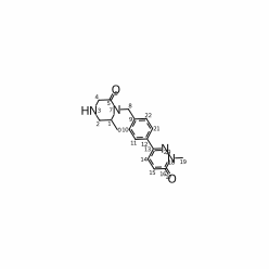 CC1CNCC(=O)N1Cc1ccc(-c2ccc(=O)n(C)n2)cc1